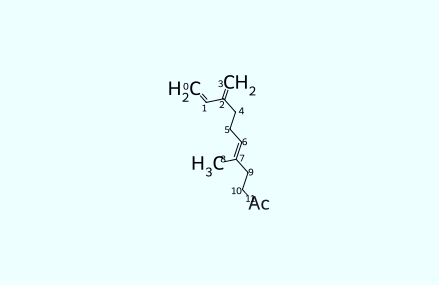 C=CC(=C)CC/C=C(\C)CCC(C)=O